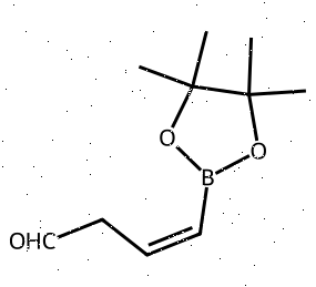 CC1(C)OB(/C=C\CC=O)OC1(C)C